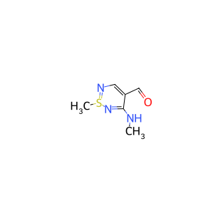 CNC1=NS(C)=NC=C1C=O